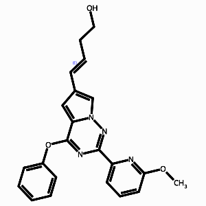 COc1cccc(-c2nc(Oc3ccccc3)c3cc(/C=C/CCO)cn3n2)n1